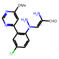 COc1cc(-c2cc(Cl)ccc2N(N)/C=C(\N)C=O)ncn1